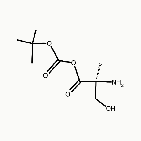 CC(C)(C)OC(=O)OC(=O)[C@@](C)(N)CO